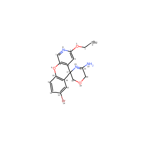 CC(C)(C)COc1cc2c(cn1)Oc1ccc(Br)cc1C21COCC(N)=N1